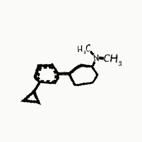 CN(C)C1CCCC(c2cccc(C3CC3)c2)C1